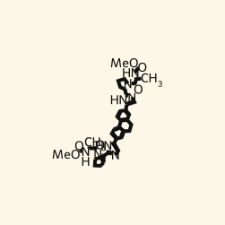 COC(=O)NC(C)C(=O)N1CCCC1c1ncc(-c2ccc3c(c2)CCc2cc(-c4cnc(C5C6CCC(C6)N5C(=O)C(C)NC(=O)OC)[nH]4)ccc2-3)[nH]1